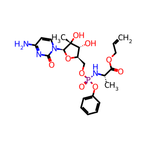 C=CCOC(=O)[C@H](C)N[P@](=O)(OC[C@H]1O[C@@H](n2ccc(N)nc2=O)[C@](C)(O)[C@@H]1O)Oc1ccccc1